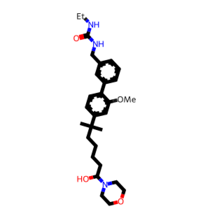 CCNC(=O)NCc1cccc(-c2ccc(C(C)(C)CCCCC(O)N3CCOCC3)cc2OC)c1